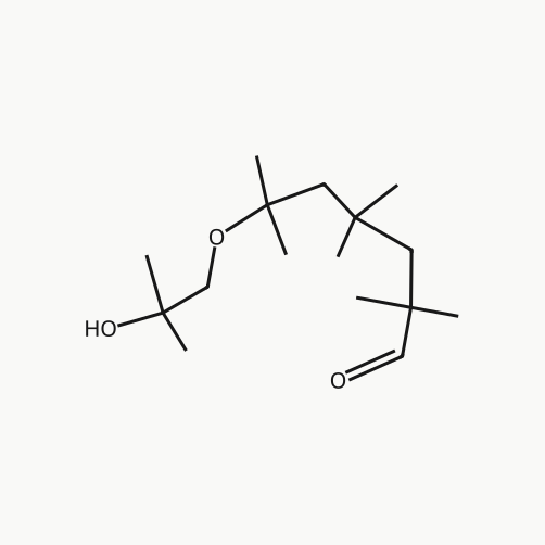 CC(C)(O)COC(C)(C)CC(C)(C)CC(C)(C)C=O